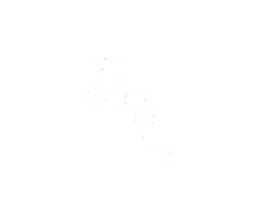 C[SiH]1CC(C)(c2c3ccccc3cc3c2ccc2cc4cc5ccccc5cc4cc23)O[SiH2][SiH2]1